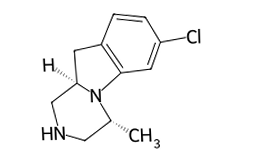 C[C@@H]1CNC[C@H]2Cc3ccc(Cl)cc3N21